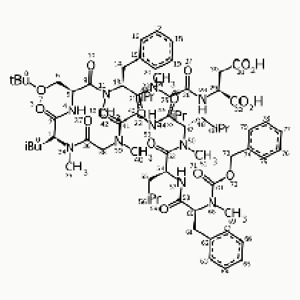 CC[C@H](C)[C@@H](C(=O)N[C@@H](COC(C)(C)C)C(=O)N(C)[C@@H](Cc1ccccc1)C(=O)N(C)[C@H](C(=O)N[C@@H](CC(=O)O)C(=O)O)C(C)C)N(C)C(=O)CN(C)C(=O)[C@@H](NC(=O)[C@H](CC(C)C)N(C)C(=O)[C@H](CC(C)C)NC(=O)[C@H](Cc1ccccc1)N(C)C(=O)OCc1ccccc1)C(C)C